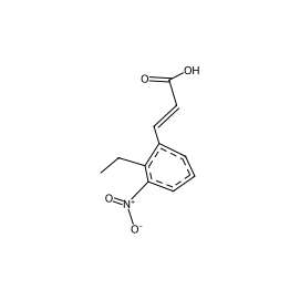 CCc1c(/C=C/C(=O)O)cccc1[N+](=O)[O-]